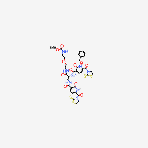 Cn1c(C(=O)N2CCSC2=S)ccc(C(=O)NCC(NC(=O)c2ccc(C(=O)N3CCSC3=S)n(OCc3ccccc3)c2=O)C(=O)NCCOCCNC(=O)OC(C)(C)C)c1=O